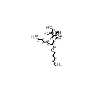 CCCCCOC[C@H](COC(C(O)CO)P(=O)(O)O)OCCCCC